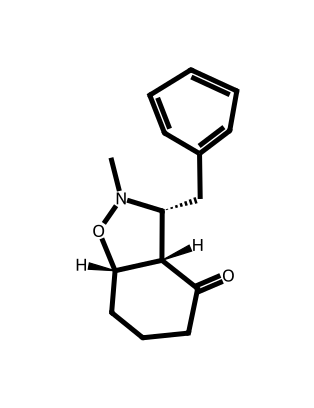 CN1O[C@H]2CCCC(=O)[C@H]2[C@H]1Cc1ccccc1